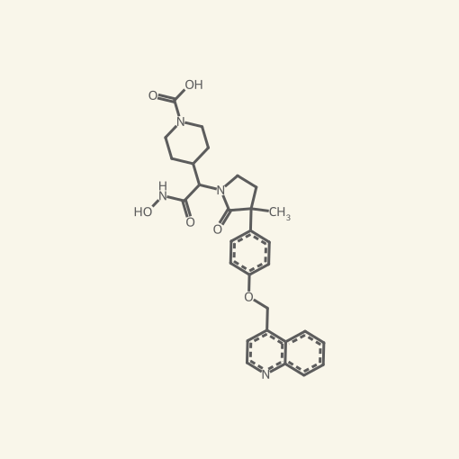 CC1(c2ccc(OCc3ccnc4ccccc34)cc2)CCN(C(C(=O)NO)C2CCN(C(=O)O)CC2)C1=O